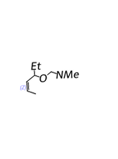 C/C=C\C(CC)OCNC